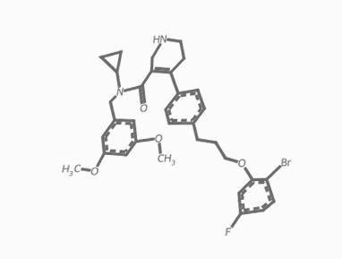 COc1cc(CN(C(=O)C2=C(c3ccc(CCCOc4cc(F)ccc4Br)cc3)CCNC2)C2CC2)cc(OC)c1